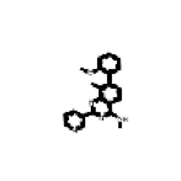 CNc1nc(-c2cccnc2)nc2c(C)c(-c3ccccc3OC)ccc12